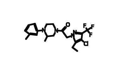 CCc1c(Cl)c(C(F)(F)F)nn1CC(=O)N1CCN(c2cccc(C)c2)C(C)C1